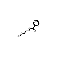 CC(C)OCCCNC(=O)c1cnccn1